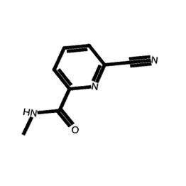 CNC(=O)c1cccc(C#N)n1